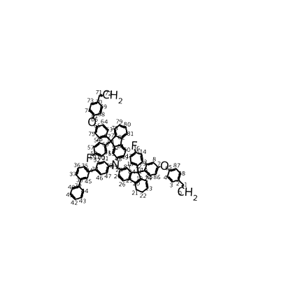 C=Cc1ccc(Oc2ccc(C3(c4ccc(F)cc4)C4=C(CCC=C4)c4ccc(N(c5ccc(-c6cccc(-c7ccccc7)c6)cc5)c5ccc6c(c5)C(c5ccc(F)cc5)(c5ccc(Oc7ccc(C=C)cc7)cc5)c5ccccc5-6)cc43)cc2)cc1